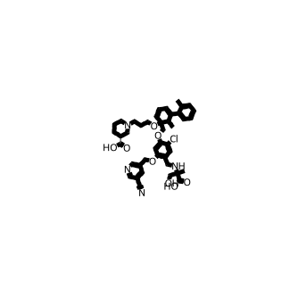 Cc1ccccc1C1=CC=CC(COc2cc(OCc3cncc(C#N)c3)c(CNC(C)(CO)C(=O)O)cc2Cl)(OCCCN2CCC[C@@H](C(=O)O)C2)C1C